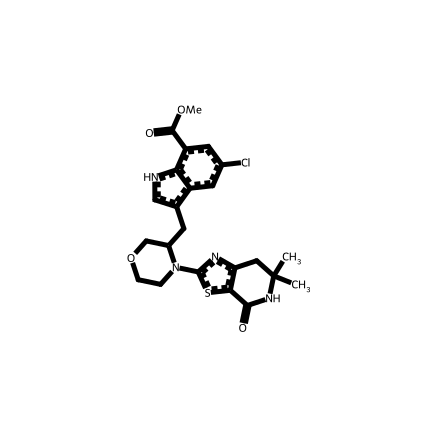 COC(=O)c1cc(Cl)cc2c(CC3COCCN3c3nc4c(s3)C(=O)NC(C)(C)C4)c[nH]c12